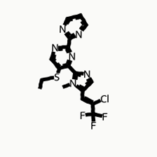 CCSc1cnc(-c2ncccn2)nc1-c1ncc(/C=C(\Cl)C(F)(F)F)n1C